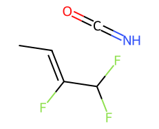 CC=C(F)C(F)F.N=C=O